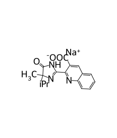 CC(C)C1(C)N=C(c2nc3ccccc3cc2C(=O)[O-])NC1=O.[Na+]